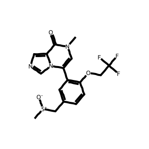 Cn1cc(-c2cc(C[S+](C)[O-])ccc2OCC(F)(F)F)n2cncc2c1=O